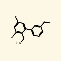 CCc1cccc(-c2cc(Cl)cc(Cl)c2CN)c1